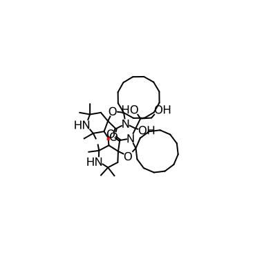 CC1C(C)(C)NC(C)(C)CC12OC1(CCCCCCCCCCC1)N(C(O)(C(O)CO)N1C(=O)C3(CC(C)(C)NC(C)(C)C3C)OC13CCCCCCCCCCC3)C2=O